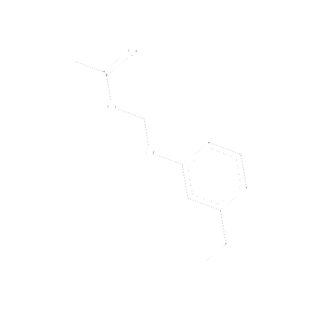 CC(=O)OCOc1cccc(CI)c1